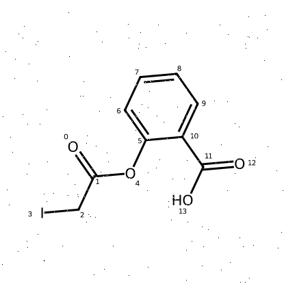 O=C(CI)Oc1ccccc1C(=O)O